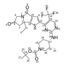 CCC12CC(=O)CN1C(=O)c1cc(-c3nc(N[C@H]4CCN(C(=O)OC(C)(C)C)C[C@H]4C)ncc3C(F)(F)F)sc12